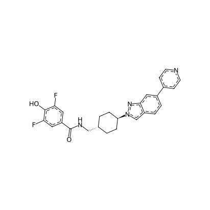 O=C(NC[C@H]1CC[C@H](n2cc3ccc(-c4ccncc4)cc3n2)CC1)c1cc(F)c(O)c(F)c1